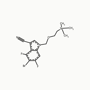 C[Si](C)(C)CCOCn1cc(C#N)c2c(F)c(Br)c(F)cc21